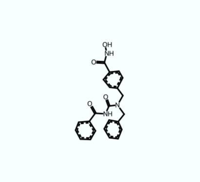 O=C(NO)c1ccc(CN(Cc2ccccc2)C(=O)NC(=O)c2ccccc2)cc1